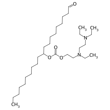 CCCCCCCCCCC(CCCCCCCCC=O)OC(=O)OCCN(CC)CCN(CC)CC